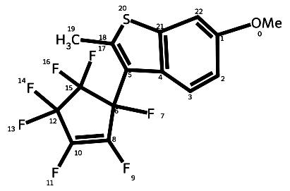 COc1ccc2c(C3(F)C(F)=C(F)C(F)(F)C3(F)F)c(C)sc2c1